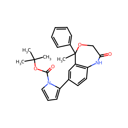 CC(C)(C)OC(=O)n1cccc1-c1ccc2c(c1)C(C)(c1ccccc1)OCC(=O)N2